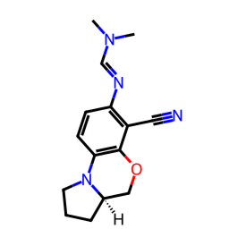 CN(C)/C=N/c1ccc2c(c1C#N)OC[C@H]1CCCN21